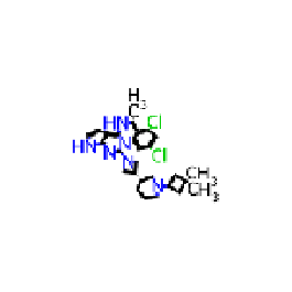 C[C@@H](Nc1nc(N2CC([C@H]3CCCN(C4CC(C)(C)C4)C3)C2)nc2[nH]ccc12)c1ccc(Cl)cc1Cl